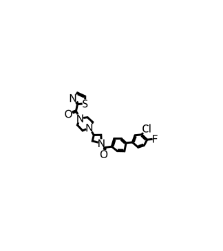 O=C(c1ccc(-c2ccc(F)c(Cl)c2)cc1)N1CC(N2CCN(C(=O)c3nccs3)CC2)C1